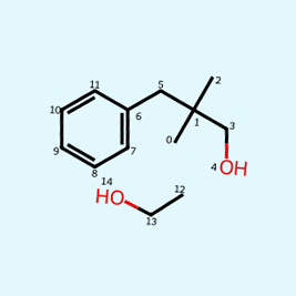 CC(C)(CO)Cc1ccccc1.CCO